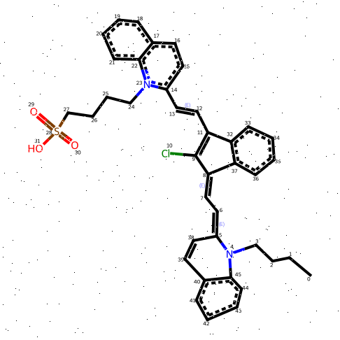 CCCCN1/C(=C/C=C2C(Cl)=C(/C=C/c3ccc4ccccc4[n+]3CCCCS(=O)(=O)O)c3ccccc3/2)C=Cc2ccccc21